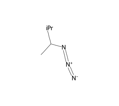 CC(C)C(C)N=[N+]=[N-]